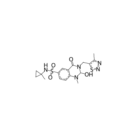 Cc1nnsc1CN1C(=O)c2cc(S(=O)(=O)NC3(C)CC3)ccc2N(C)C1O